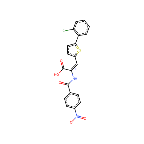 O=C(O)/C(=C\c1ccc(-c2ccccc2Cl)s1)NC(=O)c1ccc([N+](=O)[O-])cc1